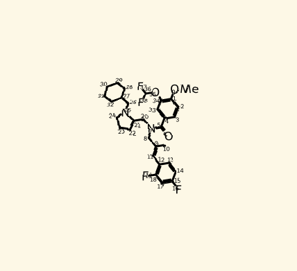 COc1ccc(C(=O)N(C/C(C)=C/c2ccc(F)cc2F)CC2CCCN2CC2CCCCC2)cc1OC(F)F